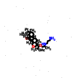 CC(=O)O[C@H](C)[C@H](OCC(C)NCCCN)C1(C)COC[C@@]2(C)C3=CC(=O)[C@@]4(C)[C@H](C(=O)O)[C@@](C)([C@H](C)C(C)C)CC[C@]4(C)[C@H]3CCC12